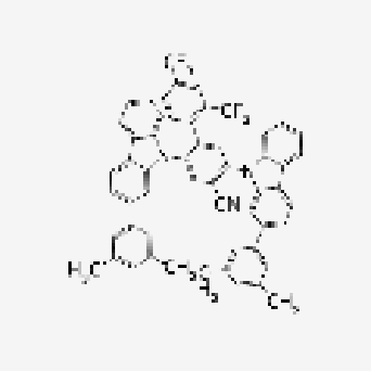 Cc1cc(C)cc(-c2ccc3c4ccccc4n(-c4cc(-c5ccc(C(F)(F)F)cc5C(F)(F)F)c(-n5c6ccccc6c6ccc(-c7cc(C)cc(C)c7)cc65)cc4C#N)c3c2)c1